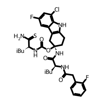 CCC(C)[C@H](NC(=O)Cc1ccccc1F)C(=O)N[C@@]1(OC(=O)NC(C(N)=S)[C@@H](C)CC)CCc2[nH]c3c(Cl)cc(F)cc3c2C1